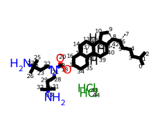 CC(C)CCC[C@@H](C)[C@H]1CC[C@H]2[C@@H]3CC=C4C[C@@H](OC(=O)N(CCC(C)(C)N)CCC(C)(C)N)CC[C@]4(C)[C@H]3CC[C@]12C.Cl.Cl